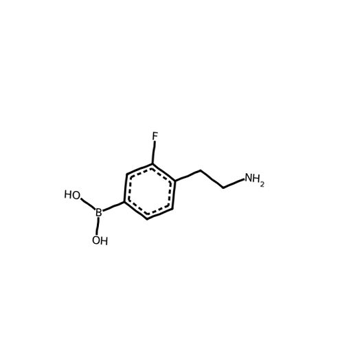 NCCc1ccc(B(O)O)cc1F